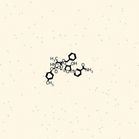 Cc1ccc(OP(=O)(N[C@@H](C)C(=O)OCc2ccccc2)OC[C@H]2O[C@@H]([n+]3cccc(C(N)=O)c3)C(O)[C@H]2O)cc1